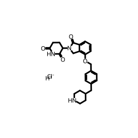 O=C1CCC(N2Cc3c(OCc4ccc(CC5CCNCC5)cc4)cccc3C2=O)C(=O)N1.[Cl-].[H+]